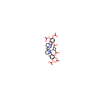 CC(=O)Oc1ccc(C[N+]2(C)[C@@H]3CC[C@H]2C[C@@H](C2C(C(=O)[O-])CC2(C(=O)[O-])[C@H]2C[C@H]4CC[C@@H](C2)[N+]4(C)Cc2ccc(OC(C)=O)c(OC(C)=O)c2)C3)cc1OC(C)=O